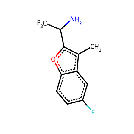 Cc1c(C(N)C(F)(F)F)oc2ccc(F)cc12